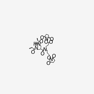 C=CC(=O)NCC(CNC(=O)C=C)C(=O)N(CCCON1C(=O)CCC1=O)CCC(=O)ON1C(=O)CCC1=O